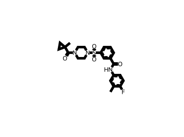 Cc1cc(NC(=O)c2cccc(S(=O)(=O)N3CCN(C(=O)C4(C)CC4)CC3)c2)ccc1F